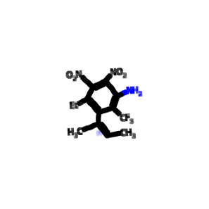 C/C=C(/C)c1c(CC)c([N+](=O)[O-])c([N+](=O)[O-])c(N)c1C(F)(F)F